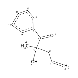 C=CCC(C)(O)C(=O)c1ccccc1